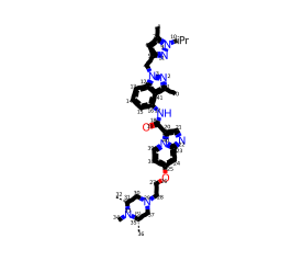 Cc1nn(Cc2cc(C)n(C(C)C)n2)c2cccc(NC(=O)c3cnc4cc(OCCN5C[C@@H](C)N(C)[C@@H](C)C5)ccn34)c12